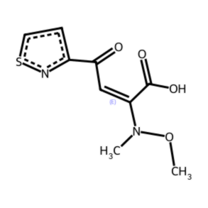 CON(C)/C(=C/C(=O)c1ccsn1)C(=O)O